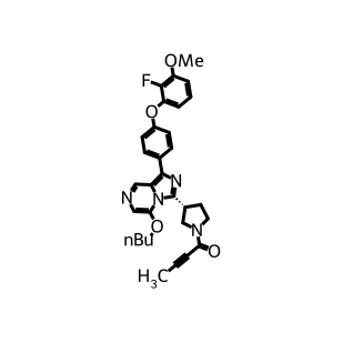 CC#CC(=O)N1CC[C@@H](c2nc(-c3ccc(Oc4cccc(OC)c4F)cc3)c3cncc(OCCCC)n23)C1